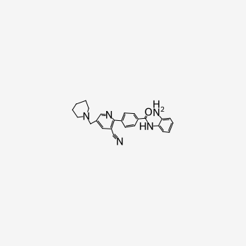 N#Cc1cc(CN2CCCCC2)cnc1-c1ccc(C(=O)Nc2ccccc2N)cc1